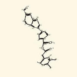 Cc1nc(C)c(CC(=O)OC(=O)c2ccc(-c3cnc4cc(C=O)ccc4c3)cc2)nc1C